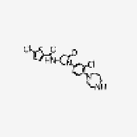 O=C(NC1CC(=O)N(c2ccc(N3CCCNCC3)c(Cl)c2)C1)c1ccc(Cl)s1